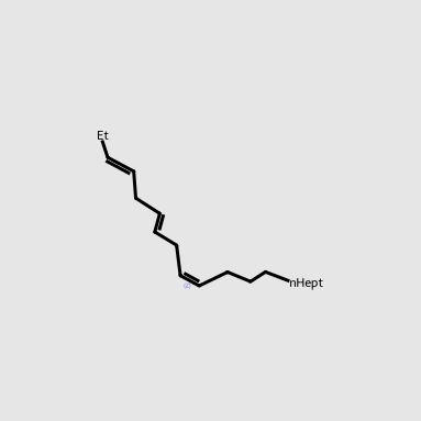 [CH2]CCCCCCCCC/C=C\CC=CCC=CCC